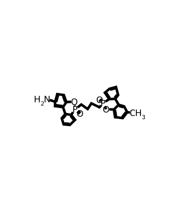 Cc1ccc2c(c1)-c1ccccc1P(=O)(CCCCP1(=O)Oc3ccc(N)cc3-c3ccccc31)O2